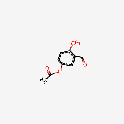 CC(=O)Oc1ccc(O)c(C=O)c1